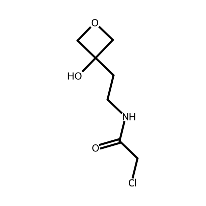 O=C(CCl)NCCC1(O)COC1